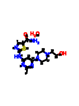 Cc1nc(Nc2ncc(C(N)=O)s2)cc(N2CCN(CCO)CC2)n1.O